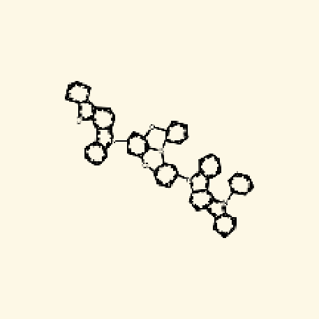 c1ccc(-n2c3ccccc3c3ccc4c(c5ccccc5n4-c4ccc5c(c4)B4c6ccccc6Oc6cc(-n7c8ccccc8c8c9oc%10ccccc%10c9ccc87)cc(c64)O5)c32)cc1